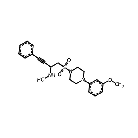 COc1cccc(N2CCN(S(=O)(=O)CC(C#Cc3ccccc3)NO)CC2)c1